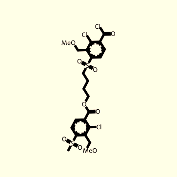 COCc1c(S(C)(=O)=O)ccc(C(=O)OCCCCS(=O)(=O)c2ccc(C(=O)Cl)c(Cl)c2COC)c1Cl